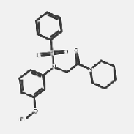 CCCOc1cccc(N(CC(=O)N2CCCCC2)S(=O)(=O)c2ccccc2)c1